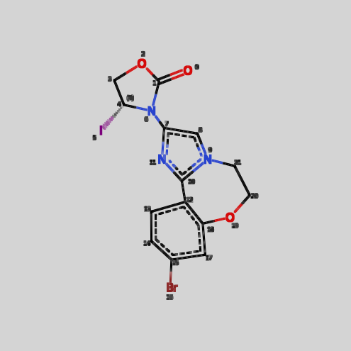 O=C1OC[C@@H](I)N1c1cn2c(n1)-c1ccc(Br)cc1OCC2